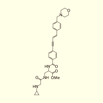 COC(=O)C(CNC(=O)CNC1CC1)NC(=O)c1ccc(C#CC=Cc2ccc(CN3CCOCC3)cc2)cc1